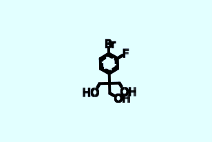 OCC(CO)(CO)c1ccc(Br)c(F)c1